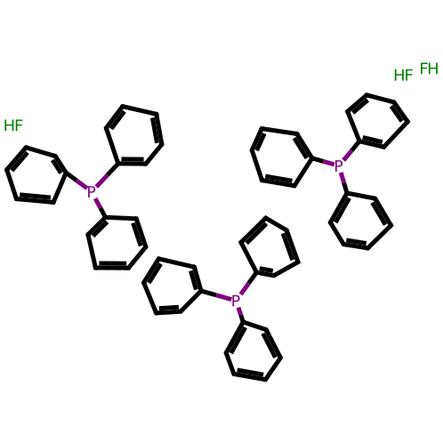 F.F.F.c1ccc(P(c2ccccc2)c2ccccc2)cc1.c1ccc(P(c2ccccc2)c2ccccc2)cc1.c1ccc(P(c2ccccc2)c2ccccc2)cc1